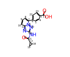 O=C(O)c1ccc(-c2cccc3nc(NC(=O)C4CC4)nn23)cc1